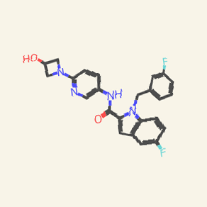 O=C(Nc1ccc(N2CC(O)C2)nc1)c1cc2cc(F)ccc2n1Cc1cccc(F)c1